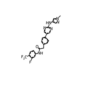 Cn1cc(Nc2ncc(-c3ccc(CC(=O)Nc4ccc(C(F)(F)F)c(F)c4)cc3)cn2)cn1